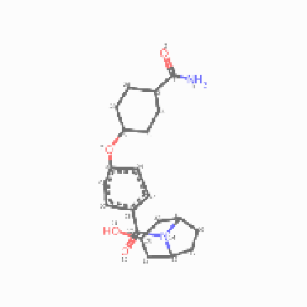 NC(=O)C1CCC(Oc2ccc(C(=O)N3C4CCC3CC(O)C4)cc2)CC1